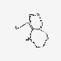 Sc1cccc2c1NCC=C2